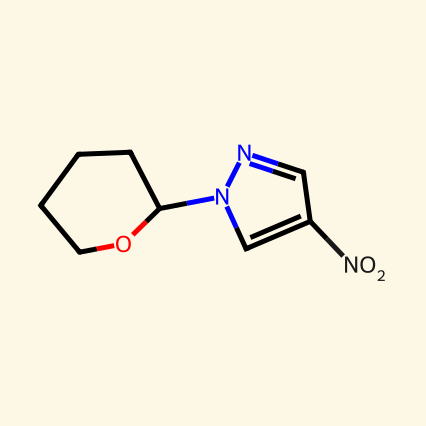 O=[N+]([O-])c1cnn(C2CCCCO2)c1